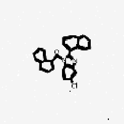 O=C(c1cccc2ccccc12)n1c(-c2cccc3ccccc23)nc2cc(Cl)ccc21